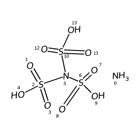 N.O=S(=O)(O)N(S(=O)(=O)O)S(=O)(=O)O